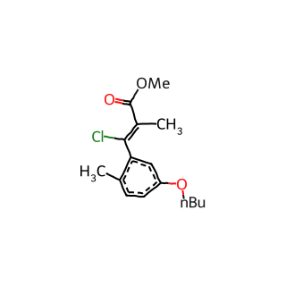 CCCCOc1ccc(C)c(/C(Cl)=C(\C)C(=O)OC)c1